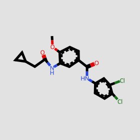 COc1ccc(C(=O)Nc2ccc(Cl)c(Cl)c2)cc1NC(=O)CC1CC1